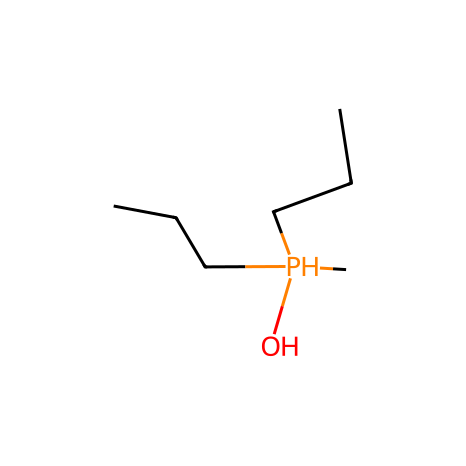 CCC[PH](C)(O)CCC